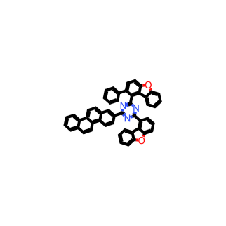 c1ccc(-c2ccc3oc4ccccc4c3c2-c2nc(-c3ccc4c(ccc5c6ccccc6ccc45)c3)nc(-c3cccc4oc5ccccc5c34)n2)cc1